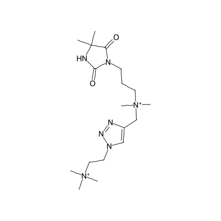 CC1(C)NC(=O)N(CCC[N+](C)(C)Cc2cn(CC[N+](C)(C)C)nn2)C1=O